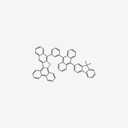 CC1(C)c2ccccc2-c2ccc(-c3c4ccccc4c(-c4cccc(-c5c6ccccc6cc6c5sc5c7ccccc7c7ccccc7c65)c4)c4ccccc34)cc21